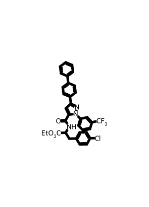 CCOC(=O)C(Cc1ccc(Cl)cc1)NC(=O)c1cc(-c2ccc(-c3ccccc3)cc2)nn1-c1cccc(C(F)(F)F)c1